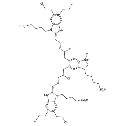 O=S(=O)(O)CCCCN1C[NH+]([O-])c2cc(CC(Cl)C=CC=C3Nc4cc(CCCl)c(CCCl)cc4N3CCCCS(=O)(=O)O)c(CC(Cl)C=CC=C3Nc4cc(CCCl)c(CCCl)cc4N3CCCCS(=O)(=O)O)cc21